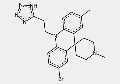 Cc1ccc2c(c1)C1(CCN(C)CC1)c1cc(Br)ccc1N2CCc1nnn[nH]1